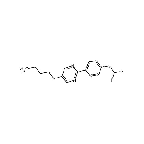 CCCCCc1cnc(-c2ccc(SC(F)F)cc2)nc1